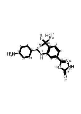 Cl.N[C@H]1CC[C@@H](CNc2cc(-c3n[nH]c(=O)o3)ccc2C(F)(F)F)CC1